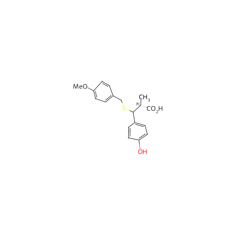 COc1ccc(CSC(c2ccc(O)cc2)[C@H](C)C(=O)O)cc1